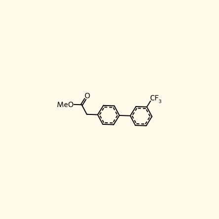 COC(=O)Cc1ccc(-c2cccc(C(F)(F)F)c2)cc1